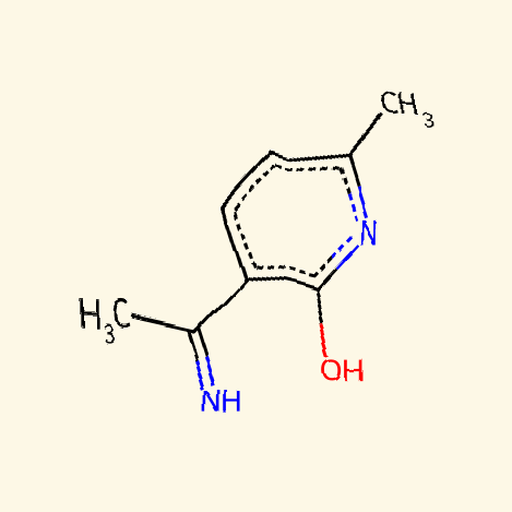 CC(=N)c1ccc(C)nc1O